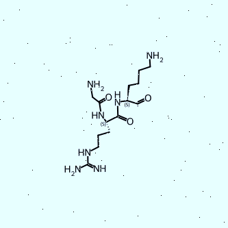 N=C(N)NCCC[C@H](NC(=O)CN)C(=O)N[C@H]([C]=O)CCCCN